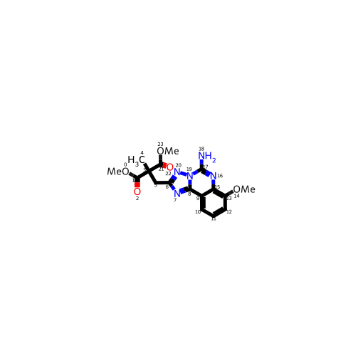 COC(=O)C(C)(Cc1nc2c3cccc(OC)c3nc(N)n2n1)C(=O)OC